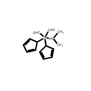 C[SiH](C)[Zr]([CH]=O)([CH]=O)([CH]1C=CC=C1)[CH]1C=CC=C1